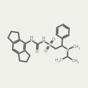 CC(C)N(C)C(CS(=O)(=O)NC(=O)Nc1c2c(cc3c1CCC3)CCC2)c1ccccc1